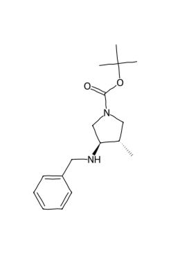 C[C@H]1CN(C(=O)OC(C)(C)C)C[C@@H]1NCc1ccccc1